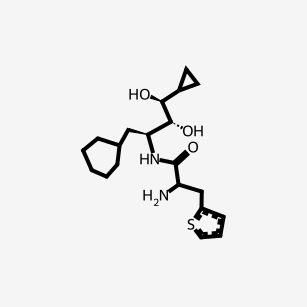 NC(Cc1cccs1)C(=O)N[C@@H](CC1CCCCC1)[C@@H](O)[C@@H](O)C1CC1